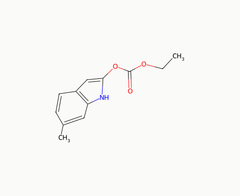 CCOC(=O)Oc1cc2ccc(C)cc2[nH]1